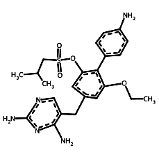 CCOc1cc(Cc2cnc(N)nc2N)cc(OS(=O)(=O)CC(C)C)c1-c1ccc(N)cc1